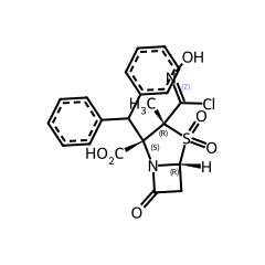 C[C@]1(/C(Cl)=N/O)[C@@](C(=O)O)(C(c2ccccc2)c2ccccc2)N2C(=O)C[C@H]2S1(=O)=O